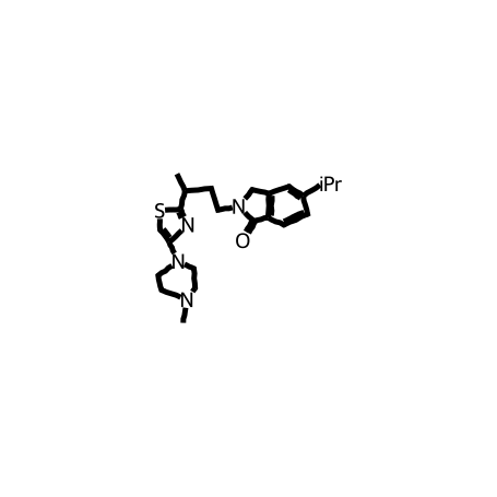 CC(C)c1ccc2c(c1)CN(CCC(C)c1nc(N3CCN(C)CC3)cs1)C2=O